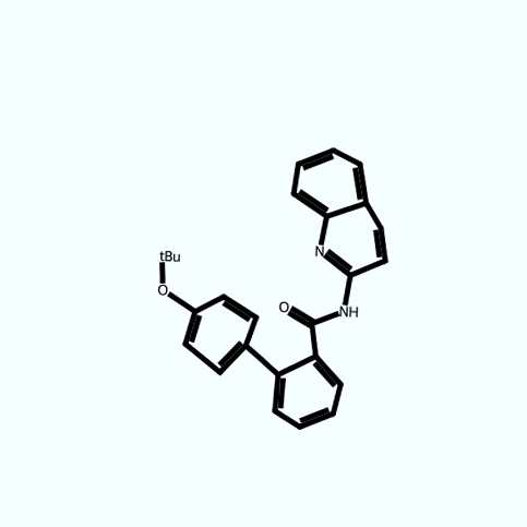 CC(C)(C)Oc1ccc(-c2ccccc2C(=O)Nc2ccc3ccccc3n2)cc1